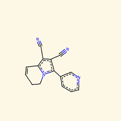 N#Cc1c(C#N)c(-c2cccnc2)n2c1C=CCC2